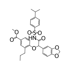 CCCc1cc(C(=O)OC)ccc1OC(C(=O)NS(=O)(=O)c1ccc(C(C)C)cc1)c1ccc2c(c1)OCO2